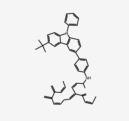 C=C(/C=C\C)C(=C)/C=C\C/C=C(\C=C/C(C)Nc1ccc(-c2ccc3c(c2)c2cc(C(C)(C)C)ccc2n3-c2ccccc2)cc1)C(=C)/C=C\C